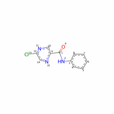 O=C(Nc1ccccc1)c1cnc(Cl)cn1